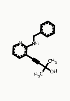 CC(C)(O)C#Cc1cccnc1NCc1ccccc1